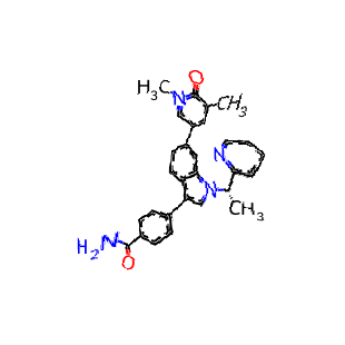 Cc1cc(-c2ccc3c(-c4ccc(C(N)=O)cc4)cn([C@@H](C)c4ccccn4)c3c2)cn(C)c1=O